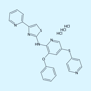 Cl.Cl.Cl.c1ccc(Oc2cc(Sc3ccncc3)cnc2Nc2nc(-c3ccccn3)cs2)cc1